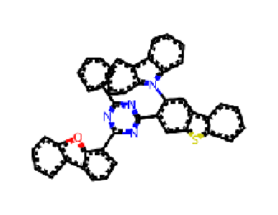 c1ccc(-c2nc(-c3cc4sc5ccccc5c4cc3-n3c4ccccc4c4ccccc43)nc(-c3cccc4c3oc3ccccc34)n2)cc1